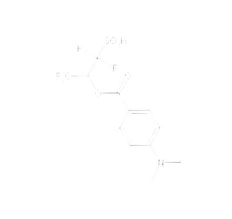 CN(C)c1ccc(C(=O)OC(C(F)(F)F)C(F)(F)S(=O)(=O)O)cc1